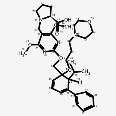 COc1nc(OCC2(OCCCN3CCOCC3)C=CC=C(c3ccccc3)C2(Cl)C(C)C)nc(OC)c1CN1CCC[C@H]1C(=O)O